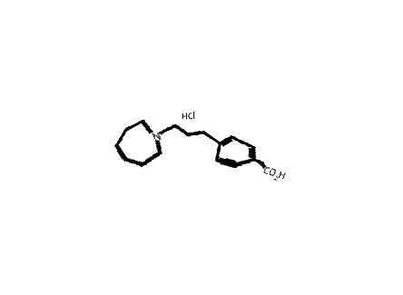 Cl.O=C(O)c1ccc(CCCN2CCCCCC2)cc1